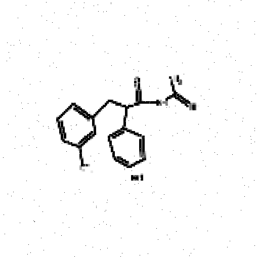 Cl.N=C(N)NC(=O)C(Cc1cccc(C(F)(F)F)c1)c1ccccc1